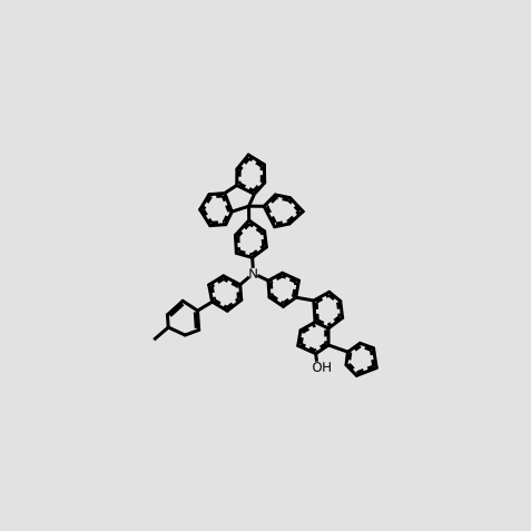 CC1C=CC(c2ccc(N(c3ccc(-c4cccc5c(-c6ccccc6)c(O)ccc45)cc3)c3ccc(C4(c5ccccc5)c5ccccc5-c5ccccc54)cc3)cc2)=CC1